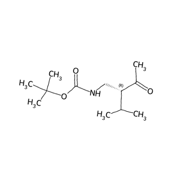 CC(=O)[C@@H](CNC(=O)OC(C)(C)C)C(C)C